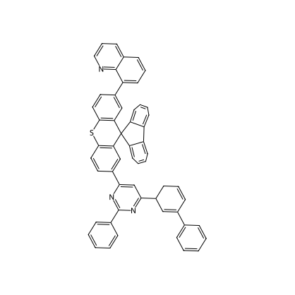 C1=CC(c2ccccc2)=CC(c2cc(-c3ccc4c(c3)C3(c5cc(-c6cccc7cccnc67)ccc5S4)c4ccccc4-c4ccccc43)nc(-c3ccccc3)n2)C1